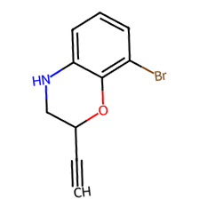 C#CC1CNc2cccc(Br)c2O1